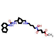 COC(=O)/C=C/C(=O)N(O)CCCCNCc1ccc(CNC(=O)Nc2cccc3ccccc23)cc1